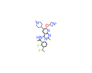 Cc1nc(N[C@H](C)c2cccc(C(C)F)c2F)c2cc(C3CCN(C)CC3)c(OC3CN(C)C3)nc2n1